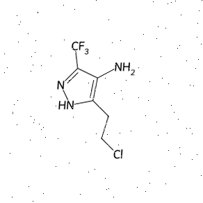 Nc1c(C(F)(F)F)n[nH]c1CCCl